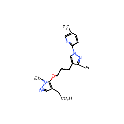 CCn1ncc(CC(=O)O)c1OCCCc1cn(-c2ccc(C(F)(F)F)cn2)nc1C(C)C